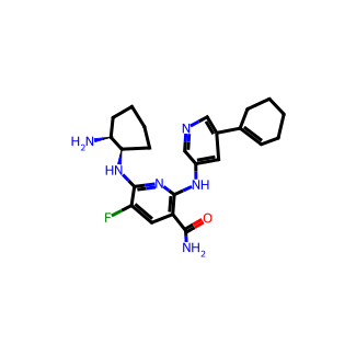 NC(=O)c1cc(F)c(N[C@@H]2CCCC[C@@H]2N)nc1Nc1cncc(C2=CCCCC2)c1